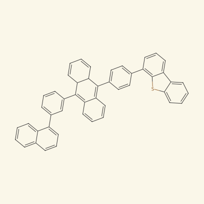 C1=CC2C(c3ccc(-c4cccc5c4sc4ccccc45)cc3)=c3ccccc3=C(c3cccc(-c4cccc5ccccc45)c3)C2C=C1